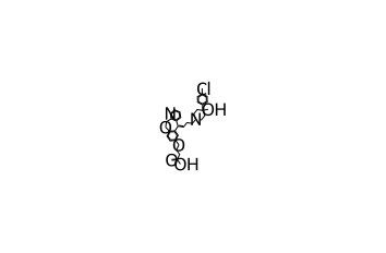 O=C(O)CCOc1ccc2c(c1)/C(=C/CCN1CCC(O)(c3ccc(Cl)cc3)CC1)c1cccnc1CO2